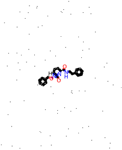 O=C(NCCc1ccccc1)[C@@H]1CC[C@H]2CN1C(=O)N2OCc1ccccc1